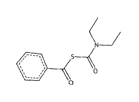 CCN(CC)C(=O)SC(=O)c1ccccc1